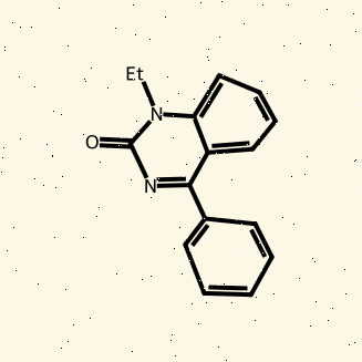 CCn1c(=O)nc(-c2ccccc2)c2ccccc21